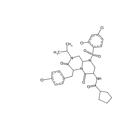 CC(C)N1CC2N(C(=O)C(NC(=O)C3CCCC3)CN2S(=O)(=O)c2ccc(Cl)cc2Cl)C(Cc2ccc(Cl)cc2)C1=O